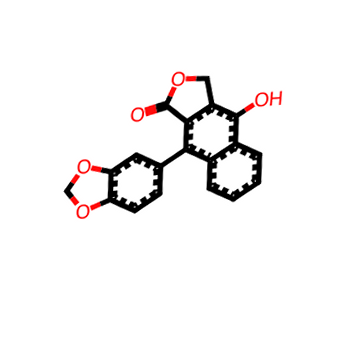 O=C1OCc2c1c(-c1ccc3c(c1)OCO3)c1ccccc1c2O